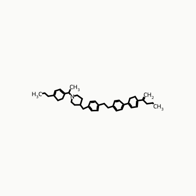 C=C(CCC)C1=CC=C(c2ccc(CCc3ccc(CC4CCN(C(C)C5=CC=C(CCC)CC5)CC4)cc3)cc2)CC1